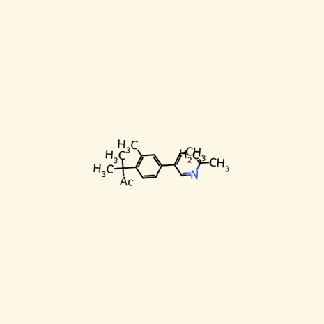 C=C(C)/N=C\C(=C/C)c1ccc(C(C)(C)C(C)=O)c(C)c1